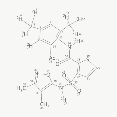 [2H]c1c(C([2H])([2H])[2H])cc(C([2H])([2H])[2H])c(N([2H])C(=O)c2sccc2S(=O)(=O)N([2H])c2onc(C)c2C)c1C(C)=O